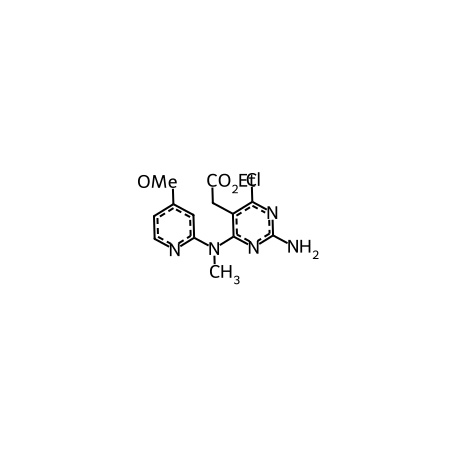 CCOC(=O)Cc1c(Cl)nc(N)nc1N(C)c1cc(OC)ccn1